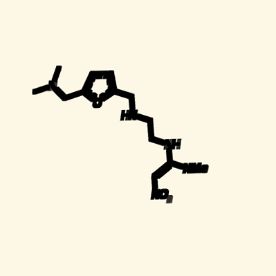 CNC(=C[N+](=O)[O-])NCCNCc1ccc(CN(C)C)o1